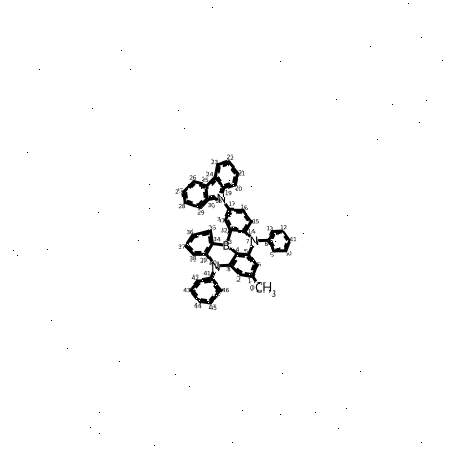 Cc1cc2c3c(c1)N(c1ccccc1)c1ccc(-n4c5ccccc5c5ccccc54)cc1B3c1ccccc1N2c1ccccc1